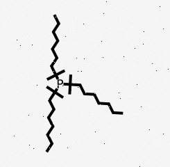 CCCCCCCC(C)(C)P(C(C)(C)CCCCCCC)C(C)(C)CCCCCCC